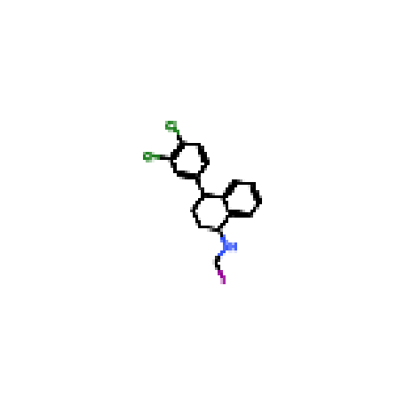 Clc1ccc([C@@H]2CC[C@H](NCI)c3ccccc32)cc1Cl